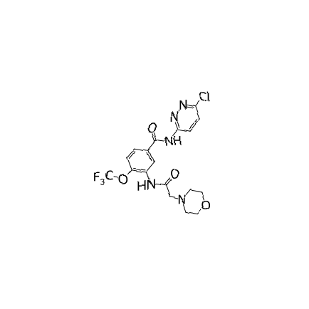 O=C(CN1CCOCC1)Nc1cc(C(=O)Nc2ccc(Cl)nn2)ccc1OC(F)(F)F